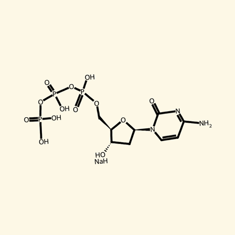 Nc1ccn([C@H]2C[C@H](O)[C@@H](COP(=O)(O)OP(=O)(O)OP(=O)(O)O)O2)c(=O)n1.[NaH]